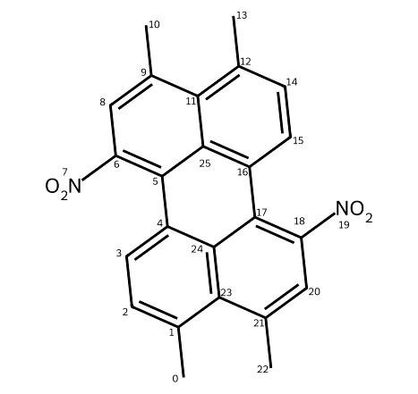 Cc1ccc2c3c([N+](=O)[O-])cc(C)c4c(C)ccc(c5c([N+](=O)[O-])cc(C)c1c25)c43